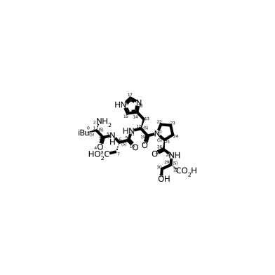 CC[C@H](C)[C@H](N)C(=O)N[C@@H](CC(=O)O)C(=O)N[C@@H](Cc1c[nH]cn1)C(=O)N1CCC[C@H]1C(=O)N[C@@H](CO)C(=O)O